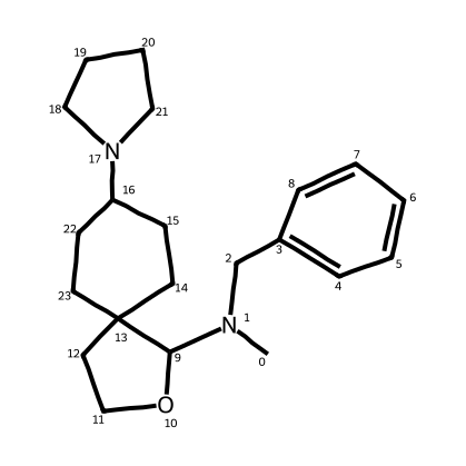 CN(Cc1ccccc1)C1OCCC12CCC(N1CCCC1)CC2